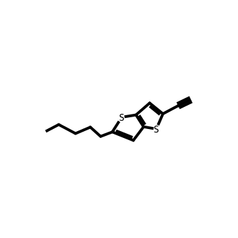 C#Cc1cc2sc(CCCCC)cc2s1